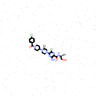 CC[C@H]1CN(c2nc(N)c(C(=O)N[C@H](CO)C(C)C)nc2Cl)CCN1C1CCN(C(=O)c2ccc(Cl)cc2)CC1